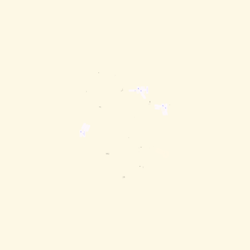 N#Cc1cccc(Nc2ncc(C(=O)C3CCCCC3)s2)c1